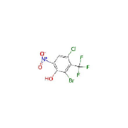 O=[N+]([O-])c1cc(Cl)c(C(F)(F)F)c(Br)c1O